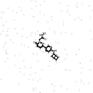 CCNC(=O)Cn1nc(-c2ccc(NC3CC4CCC43)nc2)ccc1=O